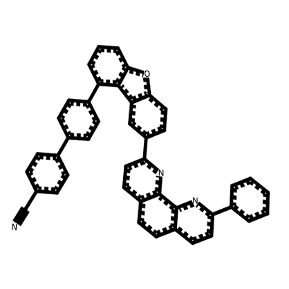 N#Cc1ccc(-c2ccc(-c3cccc4oc5ccc(-c6ccc7ccc8ccc(-c9ccccc9)nc8c7n6)cc5c34)cc2)cc1